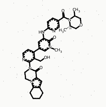 CC1COC[C@H](C)N1C(=O)c1ccc(Nc2cc(-c3ccnc(N4CCn5c(cc6c5CCCC6)C4=O)c3CO)cn(C)c2=O)nc1